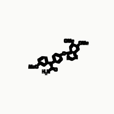 COc1cccc(N(C(N)=O)c2ccc(Oc3ncnc4cc(OC)c(OC)cc34)cc2)c1